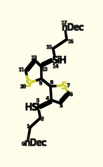 CCCCCCCCCCCC/[SiH]=C1\C=CSC1C1SC=C/C1=[SiH]\CCCCCCCCCCCC